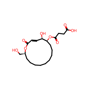 O=C(O)CCC(=O)O[C@H]1CCCCCCCCC[C@@H](CO)OC(=O)/C=C/[C@H]1O